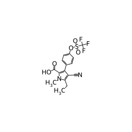 CCc1c(C#N)c(-c2ccc(OS(=O)(=O)C(F)(F)F)cc2)c(C(=O)O)n1C